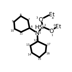 CCO[SiH](OCC)N(C1CCCCC1)C1CCCCC1